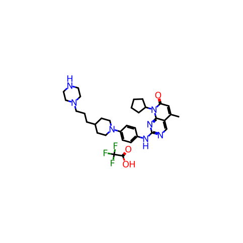 Cc1cc(=O)n(C2CCCC2)c2nc(Nc3ccc(N4CCC(CCCN5CCNCC5)CC4)cc3)ncc12.O=C(O)C(F)(F)F